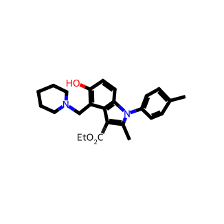 CCOC(=O)c1c(C)n(-c2ccc(C)cc2)c2ccc(O)c(CN3CCCCC3)c12